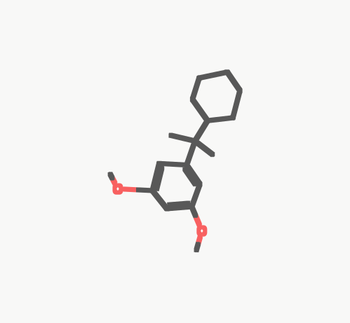 COc1cc(OC)cc(C(C)(C)C2CCCCC2)c1